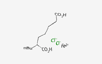 CCCCC(CCCCC(=O)O)C(=O)O.[Cl-].[Cl-].[Fe+2]